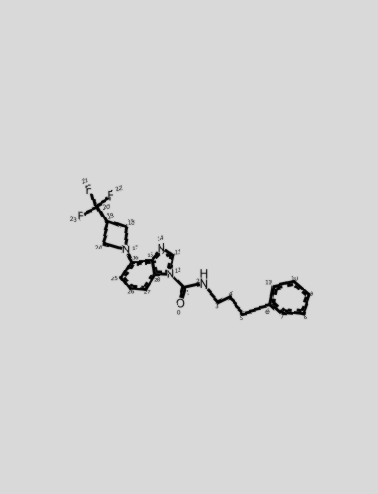 O=C(NCCCc1ccccc1)n1cnc2c(N3CC(C(F)(F)F)C3)cccc21